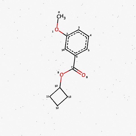 COc1cccc(C(=O)OC2CCC2)c1